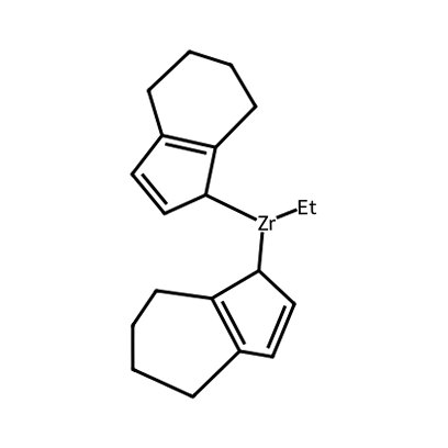 C[CH2][Zr]([CH]1C=CC2=C1CCCC2)[CH]1C=CC2=C1CCCC2